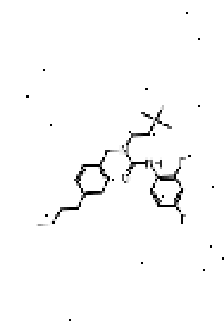 CCCCc1ccc(CN(CCC(C)(C)C)C(=O)Nc2ccc(F)cc2F)cc1